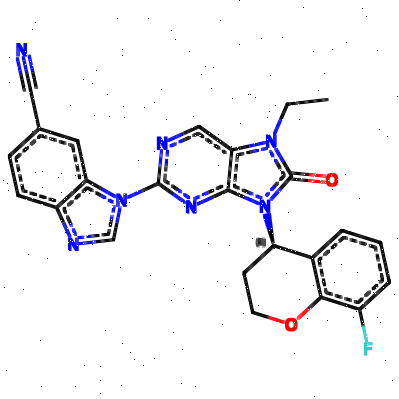 CCn1c(=O)n([C@@H]2CCOc3c(F)cccc32)c2nc(-n3cnc4ccc(C#N)cc43)ncc21